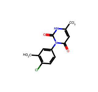 O=C(O)c1cc(-n2c(=O)cc(C(Cl)(Cl)Cl)[nH]c2=O)ccc1Cl